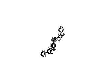 Cc1cc(-c2ncccn2)cc(Cl)c1Nc1ccc(C(=O)NNc2ncc(F)c(N3CCOCC3)n2)nc1